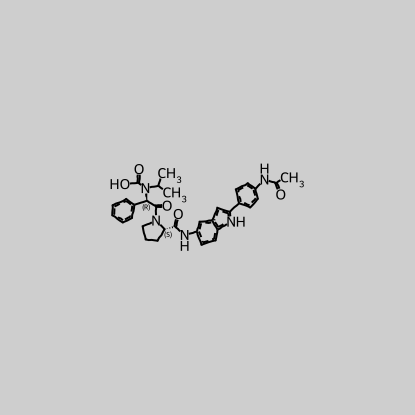 CC(=O)Nc1ccc(-c2cc3cc(NC(=O)[C@@H]4CCCN4C(=O)[C@@H](c4ccccc4)N(C(=O)O)C(C)C)ccc3[nH]2)cc1